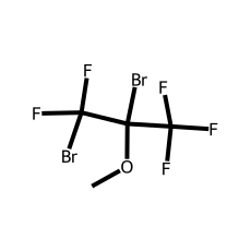 COC(Br)(C(F)(F)F)C(F)(F)Br